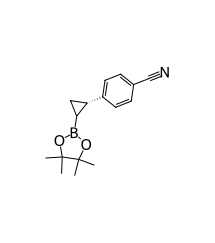 CC1(C)OB(C2C[C@@H]2c2ccc(C#N)cc2)OC1(C)C